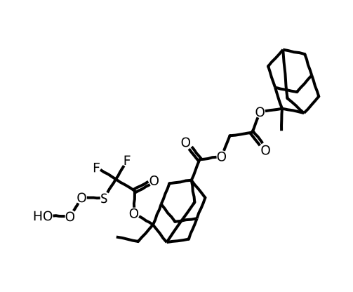 CCC1(OC(=O)C(F)(F)SOOO)C2CC3CC1CC(C(=O)OCC(=O)OC1(C)C4CC5CC(C4)CC1C5)(C3)C2